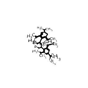 CC(C)c1cc(C(C)C)c(C(CBr)C(=O)C(CBr)c2c(C(C)C)cc(C(C)C)cc2C(C)C)c(C(C)C)c1